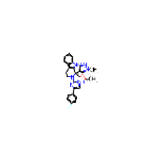 CCOC[C@]1(c2cnn(C)c2)c2[nH]c3ccccc3c2CCN1c1nc(-c2ccc(F)cc2)c[nH]1